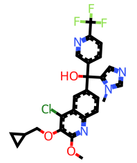 COc1nc2ccc(C(O)(c3ccc(C(F)(F)F)nc3)c3cncn3C)cc2c(Cl)c1OCC1CC1